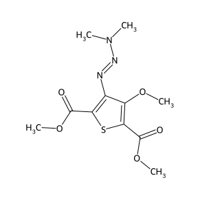 COC(=O)c1sc(C(=O)OC)c(OC)c1N=NN(C)C